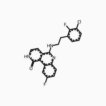 O=c1[nH]ccc2c(NCCc3cccc(Cl)c3F)nc3ccc(F)cc3c12